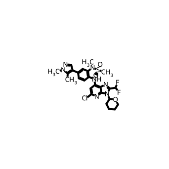 Cc1c(-c2ccc(Nc3cc(Cl)nc4c3nc(C(F)F)n4C3CCCCO3)c(N(C)S(C)(=O)=O)c2)cnn1C